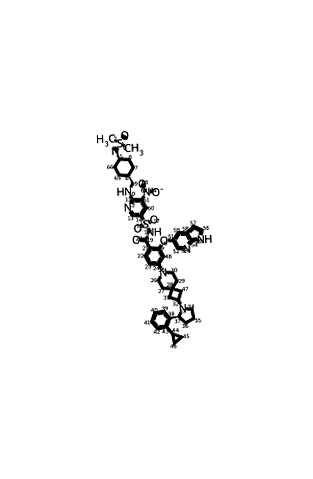 CS(C)(=O)=N[C@H]1CC[C@@H](CNc2ncc(S(=O)(=O)NC(=O)c3ccc(N4CCC5(CC4)CC(N4CCC[C@H]4c4ccccc4C4CC4)C5)cc3Oc3cnc4[nH]ccc4c3)cc2[N+](=O)[O-])CC1